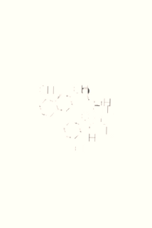 Cc1cc2c(C)cccc2c(-c2ccc(Cl)cc2)c1C(OC(C)(C)C)C(=O)O